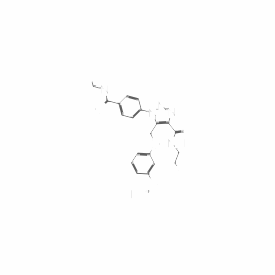 O=C(NCC(F)(F)F)c1ccc(-n2nnc(C(=O)NCCO)c2COc2cccc(OC(F)(F)F)c2)cc1